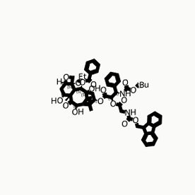 CCO[C@@]12CO[C@@H]1C[C@H](O)[C@@]1(C)C(=O)[C@H](O)C3=C(C)[C@@H](OC(=O)[C@H](OC(=O)CNC(=O)OCC4c5ccccc5-c5ccccc54)[C@@H](NC(=O)OC(C)(C)C)c4ccccc4)C[C@@](O)([C@@H](OC(=O)c4ccccc4)C12)C3(C)C